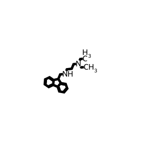 CCN(CC)CCCNCC1c2ccccc2-c2ccccc21